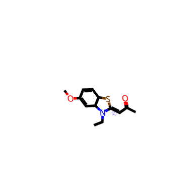 CCN1/C(=C/C(C)=O)SC2C=CC(OC)=CC21